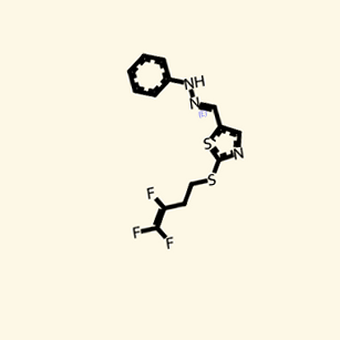 FC(F)=C(F)CCSc1ncc(/C=N/Nc2ccccc2)s1